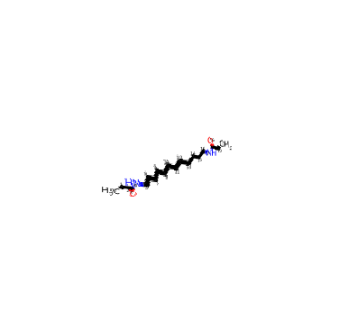 C=CC(=O)NCCCCCCCCCCCCNC(=O)C=C